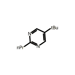 CCCc1ncc(C(C)(C)C)cn1